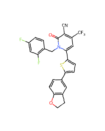 N#Cc1c(C(F)(F)F)cc(-c2ccc(-c3ccc4c(c3)CCO4)s2)n(Cc2ccc(F)cc2F)c1=O